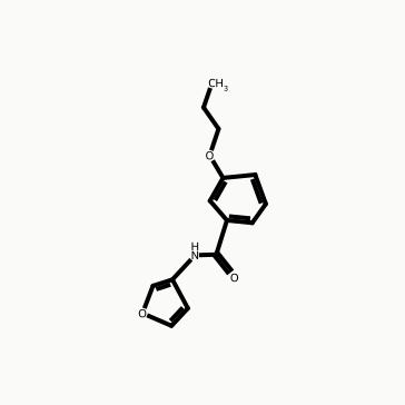 CCCOc1cccc(C(=O)Nc2ccoc2)c1